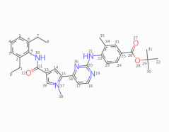 CCc1cccc(CC)c1NC(=O)c1cc(-c2ccnc(Nc3ccc(C(=O)OC(C)(C)C)cc3C)n2)n(C)c1